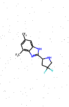 FC1(F)CNC(c2nc3c(C(F)(F)F)cc(C(F)(F)F)cc3[nH]2)C1